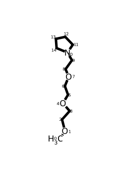 COCCOCCOCCN1CCCC1